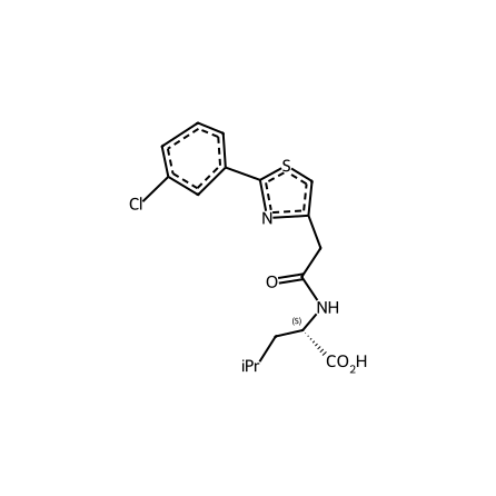 CC(C)C[C@H](NC(=O)Cc1csc(-c2cccc(Cl)c2)n1)C(=O)O